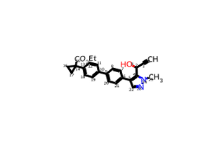 C#CC(O)c1c(-c2ccc(-c3ccc(C4(C(=O)OCC)CC4)cc3)cc2)cnn1C